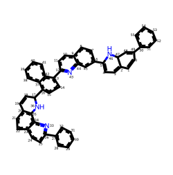 C1=CC2=CC=C(c3ccc4ccc(-c5ccc(C6C=Cc7ccc8ccc(-c9ccccc9)nc8c7N6)c6ccccc56)nc4c3)NC2C=C1c1ccccc1